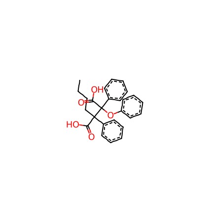 CCCCC(C(=O)O)(c1ccccc1)C(Oc1ccccc1)(C(=O)O)c1ccccc1